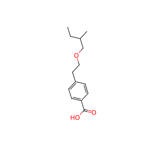 CCC(C)COCCc1ccc(C(=O)O)cc1